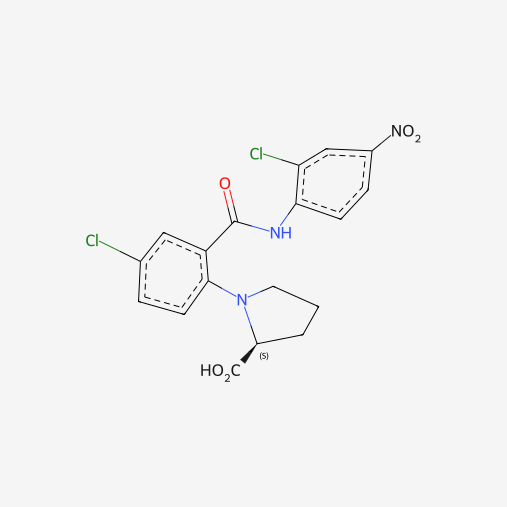 O=C(Nc1ccc([N+](=O)[O-])cc1Cl)c1cc(Cl)ccc1N1CCC[C@H]1C(=O)O